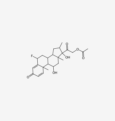 CC(=O)OCC(=O)C1(O)C(C)CC2C3CC(F)C4=CC(=O)C=CC4(C)C3C(O)CC21C